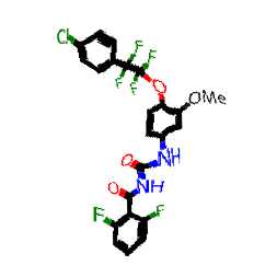 COc1cc(NC(=O)NC(=O)c2c(F)cccc2F)ccc1OC(F)(F)C(F)(F)c1ccc(Cl)cc1